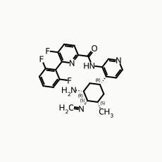 C=N[C@@H]1[C@H](N)C[C@H](c2ccncc2NC(=O)c2ccc(F)c(-c3c(F)cccc3F)n2)C[C@@H]1C